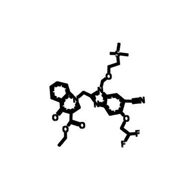 CCOC(=O)c1cn(Cc2nc3cc(OCC(F)F)c(C#N)cc3n2COCCS(C)(C)C)c2ccccc2c1=O